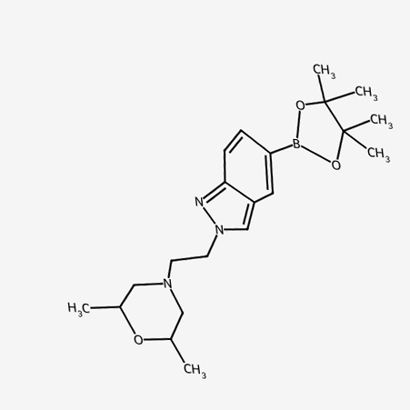 CC1CN(CCn2cc3cc(B4OC(C)(C)C(C)(C)O4)ccc3n2)CC(C)O1